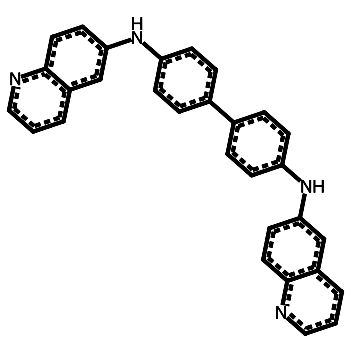 c1cnc2ccc(Nc3ccc(-c4ccc(Nc5ccc6ncccc6c5)cc4)cc3)cc2c1